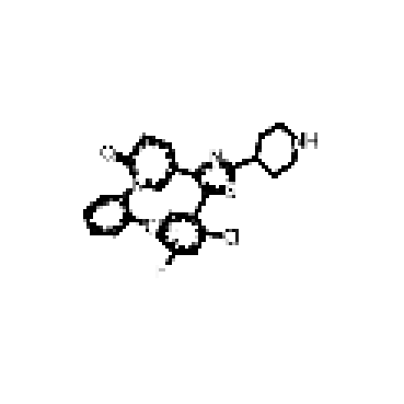 Cc1ccccc1-n1cc(-c2nc(C3CCNCC3)sc2-c2ccc(F)cc2Cl)ccc1=O